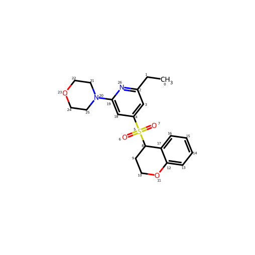 CCc1cc(S(=O)(=O)C2CCOc3ccccc32)cc(N2CCOCC2)n1